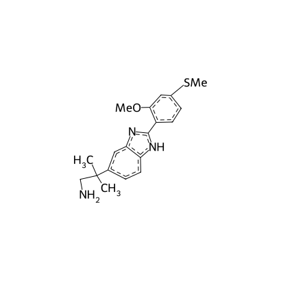 COc1cc(SC)ccc1-c1nc2cc(C(C)(C)CN)ccc2[nH]1